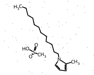 CCCCCCCCCCCCn1cccc1C.CS(=O)(=O)O